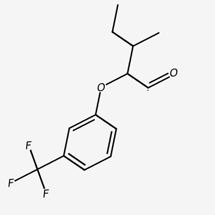 CCC(C)C([C]=O)Oc1cccc(C(F)(F)F)c1